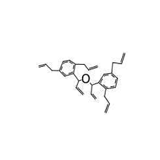 C=CCc1ccc(CC=C)c(C(C=C)OC(C=C)c2cc(CC=C)ccc2CC=C)c1